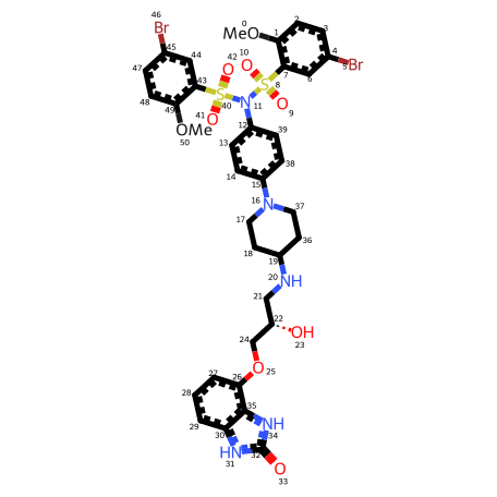 COc1ccc(Br)cc1S(=O)(=O)N(c1ccc(N2CCC(NC[C@H](O)COc3cccc4[nH]c(=O)[nH]c34)CC2)cc1)S(=O)(=O)c1cc(Br)ccc1OC